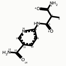 C[C](C(N)=O)C(=O)Nc1ccc(C(N)=O)cn1